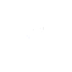 O=C(O)[C@@H]1CCCN1CC1CCOCC1